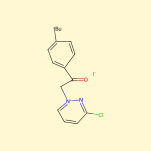 CC(C)(C)c1ccc(C(=O)C[n+]2cccc(Cl)n2)cc1.[I-]